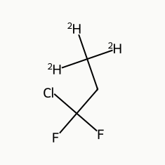 [2H]C([2H])([2H])CC(F)(F)Cl